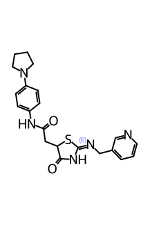 O=C(CC1S/C(=N/Cc2cccnc2)NC1=O)Nc1ccc(N2CCCC2)cc1